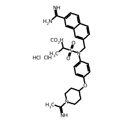 CC(=N)N1CCC(Oc2ccc(N(Cc3ccc4ccc(C(=N)N)cc4c3)S(=O)(=O)C(C)C(=O)O)cc2)CC1.Cl.Cl